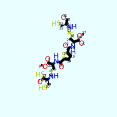 COC(=O)C(CSN[C@@H](CS)C(=O)S)NC(=O)c1ccc(C(=O)NC(CSSN[C@H](C=O)CS)C(=O)OC)s1